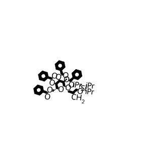 C=C(CO[C@@H]1O[C@H](COC(=O)c2ccccc2)[C@@H](OC(=O)c2ccccc2)[C@H](OC(=O)c2ccccc2)[C@H]1OC(=O)c1ccccc1)CO[Si](C(C)C)(C(C)C)C(C)C